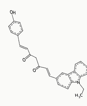 CCn1c2ccccc2c2cc(C=CC(=O)CC(=O)C=Cc3ccc(O)cc3)ccc21